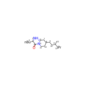 CCCCC(N)C(=O)N1CCC(CCC(C)C(C)C)CC1